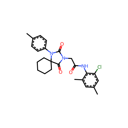 Cc1ccc(N2C(=O)N(CC(=O)Nc3c(C)cc(C)cc3Cl)C(=O)C23CCCCC3)cc1